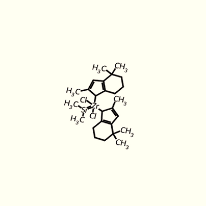 CC1=CC2=C(CCCC2(C)C)[CH]1[Zr]([Cl])([Cl])([CH]1C(C)=CC2=C1CCCC2(C)C)=[Si](C)C